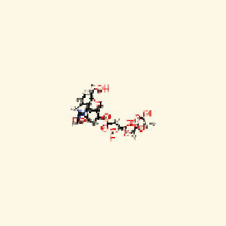 C[C@H](OC(=O)[C@H](C)OC(=O)[C@@H](O)CC(=O)OC1=CC[C@@]2(O)[C@H]3Cc4ccc(CO)c5c4[C@@]2(CCN3C)[C@H]1O5)C(=O)O